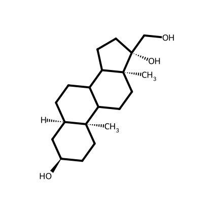 C[C@]12CCC3C(CC[C@@H]4C[C@H](O)CC[C@]34C)C1CC[C@@]2(O)CO